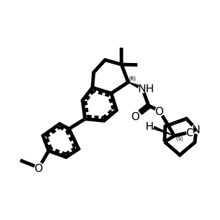 COc1ccc(-c2ccc3c(c2)CCC(C)(C)[C@H]3NC(=O)O[C@@H]2CN3CCC2CC3)cc1